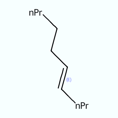 [CH2]CCCC/C=C/CCC